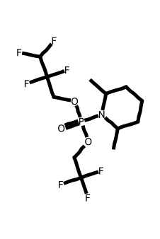 CC1CCCC(C)N1P(=O)(OCC(F)(F)F)OCC(F)(F)C(F)F